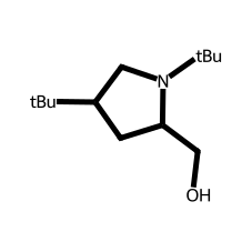 CC(C)(C)C1CC(CO)N(C(C)(C)C)C1